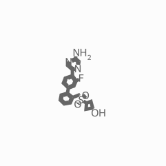 Nc1cnc(-c2ccc(-c3ccccc3CS(=O)(=O)C3CC(O)C3)cc2F)cn1